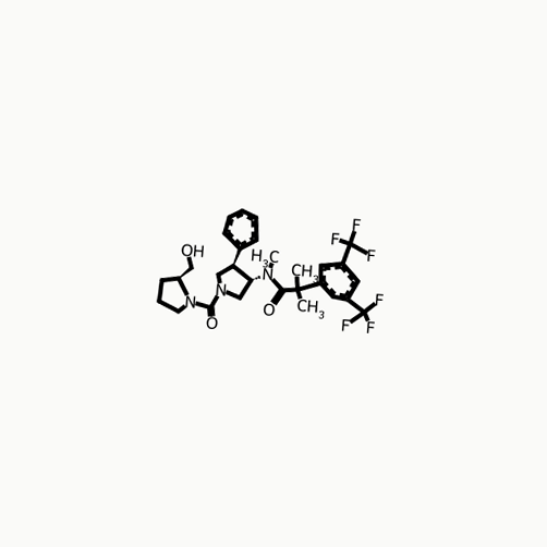 CN(C(=O)C(C)(C)c1cc(C(F)(F)F)cc(C(F)(F)F)c1)[C@@H]1CN(C(=O)N2CCC[C@H]2CO)C[C@H]1c1ccccc1